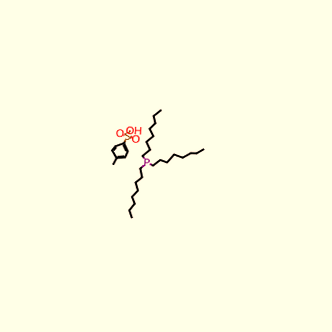 CCCCCCCCP(CCCCCCCC)CCCCCCCC.Cc1ccc(S(=O)(=O)O)cc1